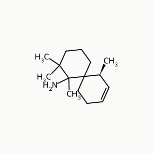 C[C@H]1C=CCCC12CCCC(C)(C)C2(C)N